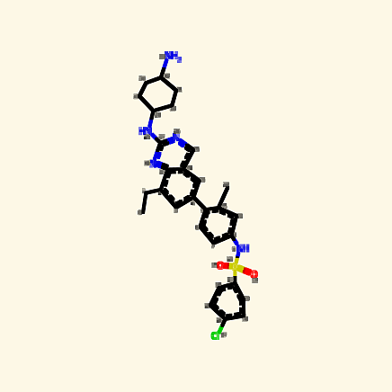 CCc1cc(-c2ccc(NS(=O)(=O)c3ccc(Cl)cc3)cc2C)cc2cnc(NC3CCC(N)CC3)nc12